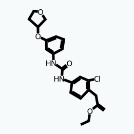 C=C(Cc1ccc(NC(=O)Nc2cccc(OC3CCOC3)c2)cc1Cl)OCC